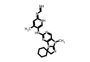 Cc1c/c(=N/C=N)[nH]cc1Nc1ncc2c(n1)N1C(=NCC13CCCCC3)N2C